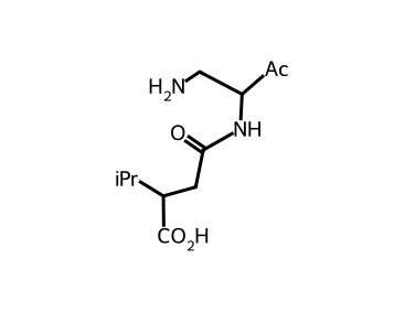 CC(=O)C(CN)NC(=O)CC(C(=O)O)C(C)C